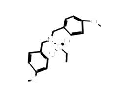 CCS(=O)(=O)N(Cc1ccc(OC)cc1)Cc1ccc(OC)cc1